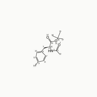 CC(=O)N[C@@H](Cc1ccc(I)cc1)C(=O)OC(C)(C)C